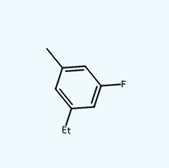 [CH2]Cc1cc(C)cc(F)c1